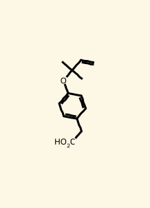 C=CC(C)(C)Oc1ccc(CC(=O)O)cc1